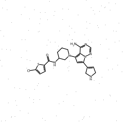 Nc1ncnn2c(C3=CCNC3)cc(N3CCCC(NC(=O)c4ccc(Cl)s4)C3)c12